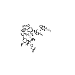 COc1cc(N(C)CCN(C)C)c(N)cc1Nc1nccc(-c2cc(F)c3nc(OCC(F)F)n(C(C)C)c3c2)n1